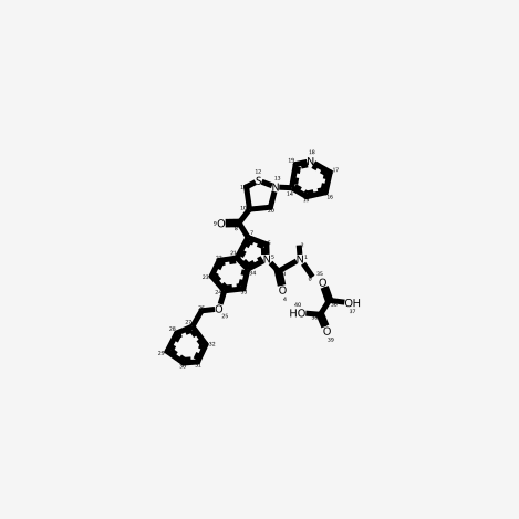 CN(C)C(=O)n1cc(C(=O)C2CSN(c3cccnc3)C2)c2ccc(OCc3ccccc3)cc21.O=C(O)C(=O)O